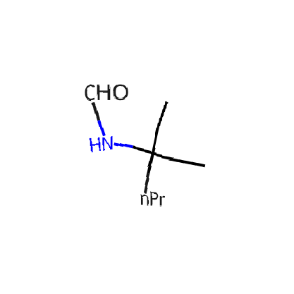 [CH2]CCC(C)(C)NC=O